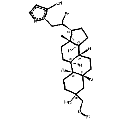 CCOC[C@@]1(O)CC[C@H]2[C@H](CC[C@@H]3[C@@H]2CC[C@]2(C)[C@@H](C(CC)Cn4nccc4C#N)CC[C@@H]32)C1